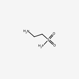 NCCS(=O)(=O)P